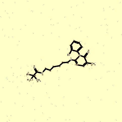 CCc1ccccc1-n1c(SCCCCCCOC(=O)C(C)(C)C(C)C)ncc(C)c1=O